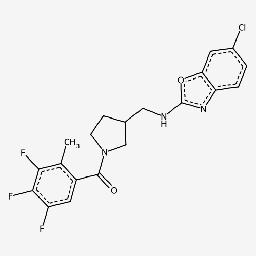 Cc1c(C(=O)N2CCC(CNc3nc4ccc(Cl)cc4o3)C2)cc(F)c(F)c1F